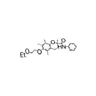 CCOCCOc1c(C)c(C)c2c(c1C)CCC(C)(C(=O)Nc1ccccc1)O2